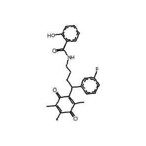 CC1=C(C)C(=O)C(C(CCCNC(=O)c2ccccc2O)c2cccc(F)c2)=C(C)C1=O